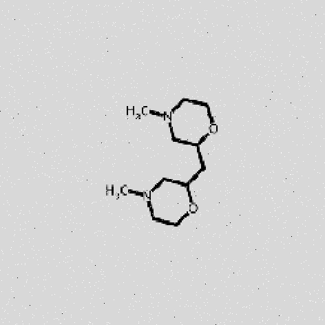 CN1CCOC(CC2CN(C)CCO2)C1